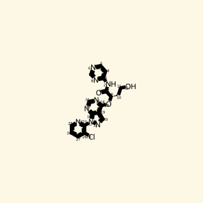 O=C(Nc1ccncn1)[C@H](CCO)Oc1ncnc2c1cnn2-c1ncccc1Cl